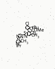 COC(=O)C(OC(C)(C)C)c1c(C)cc2nc(-c3ccnc(N4CCN(C(C)C)C[C@@H]4C)n3)sc2c1-c1ccc(Cl)cc1